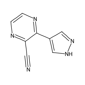 N#Cc1nccnc1-c1cn[nH]c1